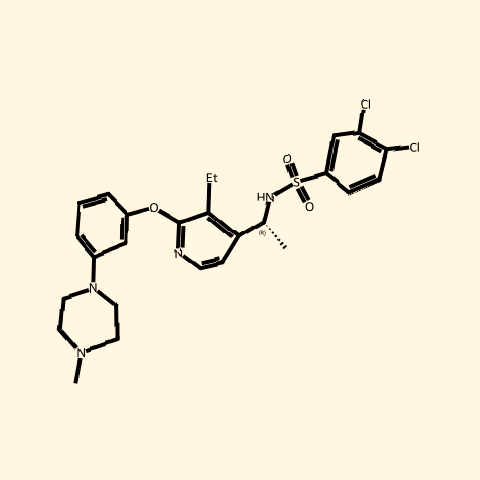 CCc1c([C@@H](C)NS(=O)(=O)c2ccc(Cl)c(Cl)c2)ccnc1Oc1cccc(N2CCN(C)CC2)c1